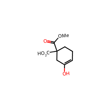 COC(=O)C1(C(=O)O)CCC=C(O)C1